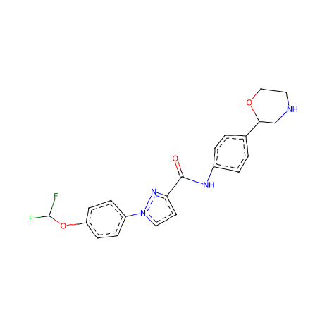 O=C(Nc1ccc(C2CNCCO2)cc1)c1ccn(-c2ccc(OC(F)F)cc2)n1